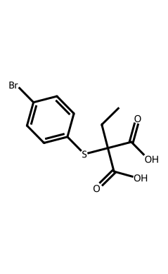 CCC(Sc1ccc(Br)cc1)(C(=O)O)C(=O)O